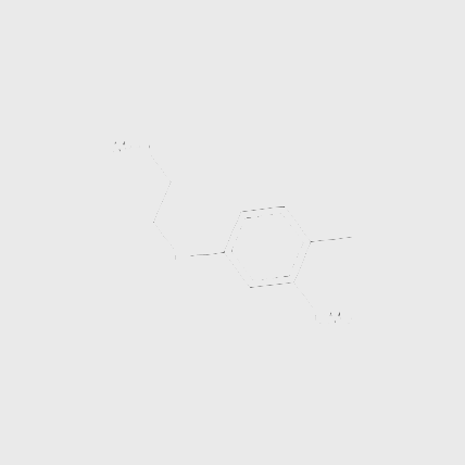 COC[C@@H](C)Oc1ccc(C)c(OC)c1